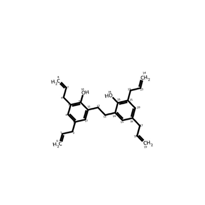 C=CCc1cc(CC=C)c(O)c(CCc2cc(CC=C)cc(CC=C)c2O)c1